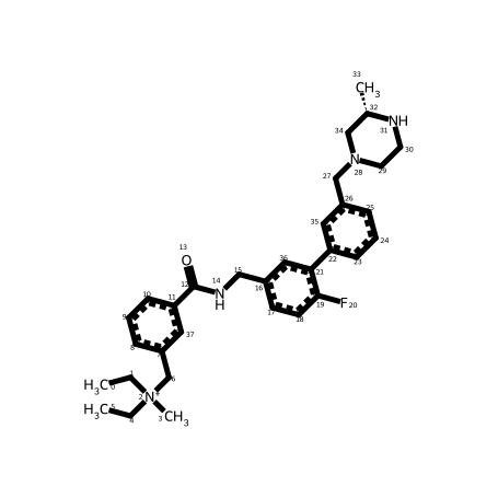 CC[N+](C)(CC)Cc1cccc(C(=O)NCc2ccc(F)c(-c3cccc(CN4CCN[C@@H](C)C4)c3)c2)c1